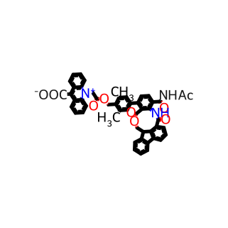 CC(=O)NC(=O)c1ccc(-c2cc(C)c(COC(=O)C[n+]3c4ccccc4c(C(=O)[O-])c4ccccc43)c(C)c2)c2c1NC(=O)c1cccc3c1C(COC2=O)c1ccccc1-3